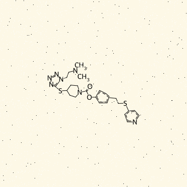 CN(C)CCn1nnnc1SC1CCN(C(=O)Oc2ccc(CCSc3ccncc3)cc2)CC1